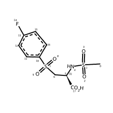 CS(=O)(=O)N[C@H](CS(=O)(=O)c1ccc(F)cc1)C(=O)O